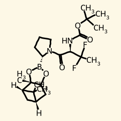 CC(C)(C)OC(=O)N[C@H](C(=O)N1CCC[C@H]1B1OC2C[C@@H]3C[C@@H](C3(C)C)[C@]2(C)O1)C(C)(F)F